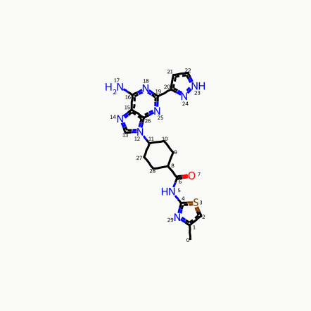 Cc1csc(NC(=O)C2CCC(n3cnc4c(N)nc(-c5cc[nH]n5)nc43)CC2)n1